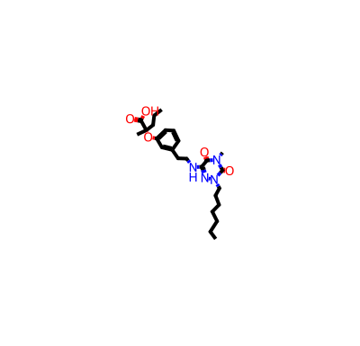 CCCCCCCn1nc(NCCc2cccc(OC(C)(CCC)C(=O)O)c2)c(=O)n(C)c1=O